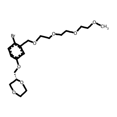 COCCOCCOCCOCc1cc(OC[C@H]2COCCO2)ccc1Br